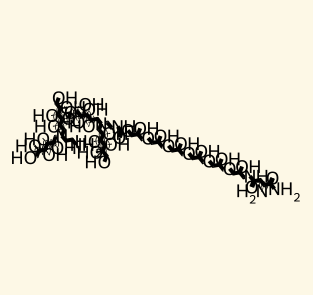 NCCN(C[C@H](O)[C@@H](O)[C@H](O)[C@H](O)CO)C[C@H](O)[C@@H](OO[C@H](CO)[C@@H](O)[C@H](O)[C@@H](O)CN(CCNC(=O)OCC(O)COCC(O)COCC(O)COCC(O)COCC(O)COCC(O)CNC(=O)C[C@@H](N)C(N)=O)C[C@H](O)[C@@H](O)[C@H](O)[C@H](O)CO)[C@H](O)[C@H](O)CO